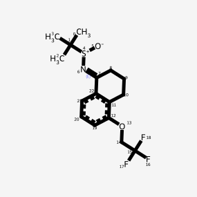 CC(C)(C)[S+]([O-])/N=C1\CCCc2c(OCC(F)(F)F)cccc21